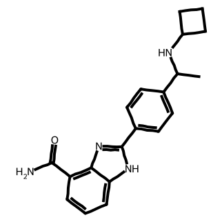 CC(NC1CCC1)c1ccc(-c2nc3c(C(N)=O)cccc3[nH]2)cc1